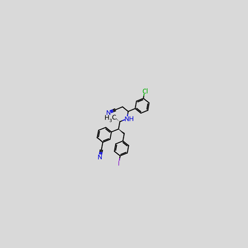 C[C@H](NC(CC#N)c1cccc(Cl)c1)[C@@H](Cc1ccc(I)cc1)c1cccc(C#N)c1